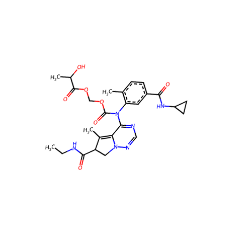 CCNC(=O)C1CN2N=CN=C(N(C(=O)OCOC(=O)C(C)O)c3cc(C(=O)NC4CC4)ccc3C)C2=C1C